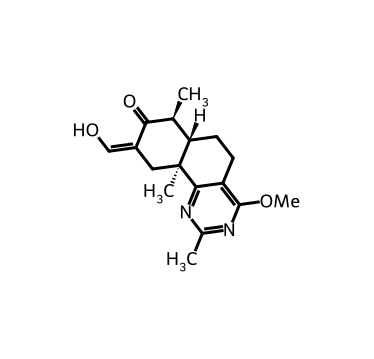 COc1nc(C)nc2c1CC[C@H]1[C@H](C)C(=O)/C(=C\O)C[C@]21C